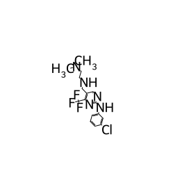 CN(C)CCNCc1cnc(Nc2cccc(Cl)c2)nc1C(F)(F)F